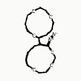 [N-]=[N+]=C1CCCCCCCCCCC1C1CCCCCCCCCCC1